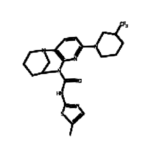 Cc1cnc(NC(=O)N2c3nc(N4CCCC(C(F)(F)F)C4)ccc3N3CCCC2C3)s1